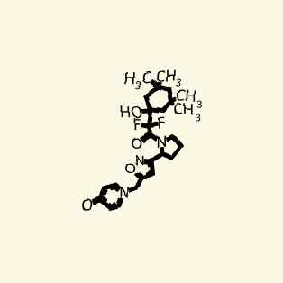 CC1(C)CC(C)(C)CC(O)(C(F)(F)C(=O)N2CCCC2c2cc(Cn3ccc(=O)cc3)on2)C1